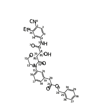 [C-]#[N+]c1ccc(NC(=O)[C@H](O)[C@H]2OCCN(c3cccc(CC(=O)OCc4ccccc4)c3)C2=O)cc1CC